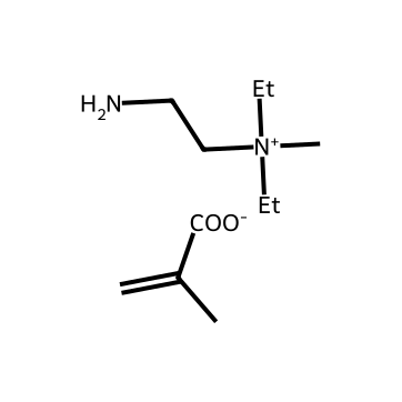 C=C(C)C(=O)[O-].CC[N+](C)(CC)CCN